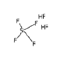 F.F.F[Si](F)(F)F